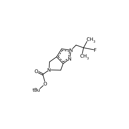 CC(C)(F)Cn1cc2c(n1)CN(C(=O)OC(C)(C)C)C2